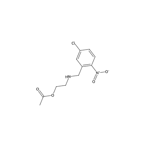 CC(=O)OCCNCc1cc(Cl)ccc1[N+](=O)[O-]